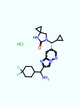 Cl.NC(c1cn2ncc([C@@H](C3CC3)N3CC4(CC4)NC3=O)cc2n1)C1CCC(F)(F)CC1